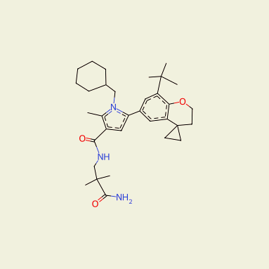 Cc1c(C(=O)NCC(C)(C)C(N)=O)cc(-c2cc(C(C)(C)C)c3c(c2)C2(CCO3)CC2)n1CC1CCCCC1